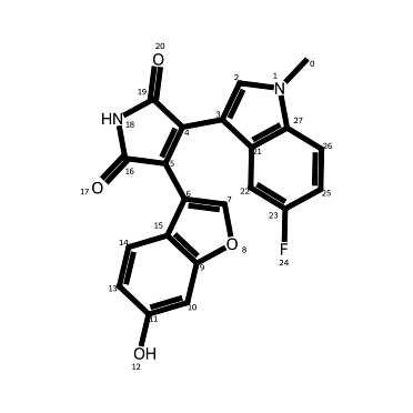 Cn1cc(C2=C(c3coc4cc(O)ccc34)C(=O)NC2=O)c2cc(F)ccc21